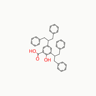 O=C(O)c1cc(C(Cc2ccccc2)Cc2ccccc2)cc(C(Cc2ccccc2)Cc2ccccc2)c1O